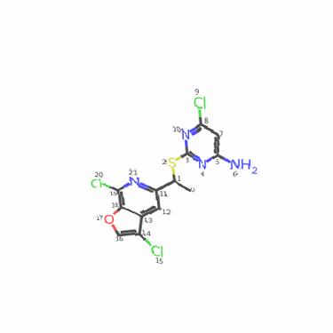 CC(Sc1nc(N)cc(Cl)n1)c1cc2c(Cl)coc2c(Cl)n1